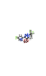 Fc1ccc(-c2nn3c(c2Br)CCC2C3C2(F)F)nc1